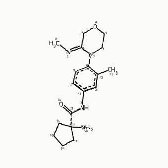 CN=C1COCCN1c1ccc(NC(=O)C2(N)CCCC2)cc1C